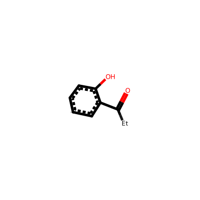 CCC(=O)c1c[c]ccc1O